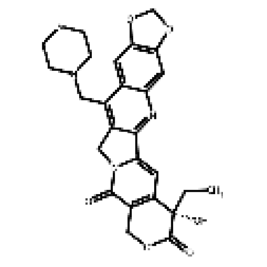 CC[C@@]1(O)C(=O)OCc2c1cc1n(c2=O)Cc2c-1nc1cc3c(cc1c2CN1CCSCC1)OCO3